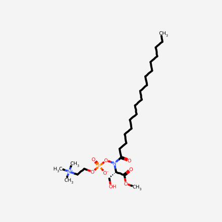 CCCCCCCCCCCCCCCCCC(=O)N(OP(=O)([O-])OCC[N+](C)(C)C)[C@@H](CO)C(=O)OC